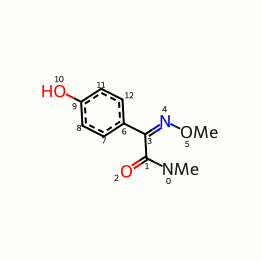 CNC(=O)C(=NOC)c1ccc(O)cc1